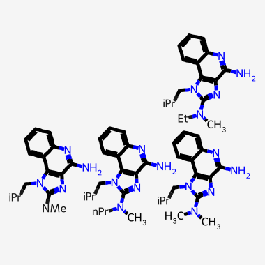 CC(C)Cn1c(N(C)C)nc2c(N)nc3ccccc3c21.CCCN(C)c1nc2c(N)nc3ccccc3c2n1CC(C)C.CCN(C)c1nc2c(N)nc3ccccc3c2n1CC(C)C.CNc1nc2c(N)nc3ccccc3c2n1CC(C)C